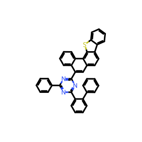 c1ccc(-c2nc(-c3ccccc3-c3ccccc3)nc(-c3cc4ccc5c6ccccc6sc5c4c4ccccc34)n2)cc1